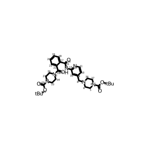 CC(C)(C)OC(=O)N1CCN(Cc2ccnc(NC(=O)c3ccccc3C(=O)N3CCN(C(=O)OC(C)(C)C)CC3)c2)CC1